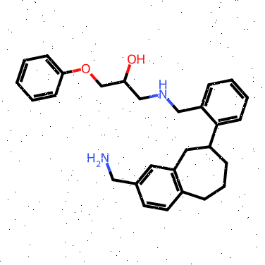 NCc1ccc2c(c1)CC(c1ccccc1CNCC(O)COc1ccccc1)CCC2